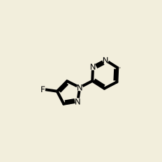 Fc1cnn(-c2cc[c]nn2)c1